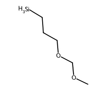 COCOCCC[SiH3]